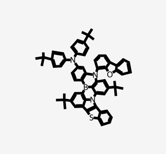 CC(C)(C)c1ccc(N(c2ccc(C(C)(C)C)cc2)c2ccc3c(c2)N(c2cccc4c2oc2ccccc24)c2cc(C(C)(C)C)cc4c2B3c2cc(C(C)(C)C)cc3c5sc6ccccc6c5n-4c23)cc1